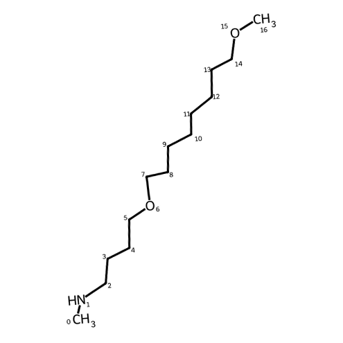 CNCCCCOCCCCCCCCOC